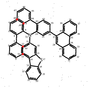 c1ccc(-c2ccccc2N(c2ccc3c(c2)sc2ccccc23)c2cc(-c3cc4ccccc4c4ccccc34)ccc2-c2ccccc2)cc1